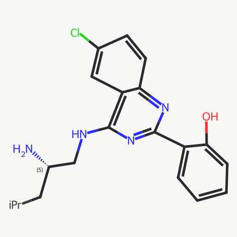 CC(C)C[C@H](N)CNc1nc(-c2ccccc2O)nc2ccc(Cl)cc12